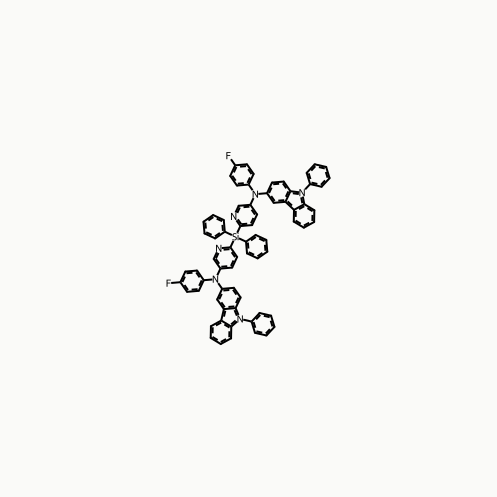 Fc1ccc(N(c2ccc([Si](c3ccccc3)(c3ccccc3)c3ccc(N(c4ccc(F)cc4)c4ccc5c(c4)c4ccccc4n5-c4ccccc4)cn3)nc2)c2ccc3c(c2)c2ccccc2n3-c2ccccc2)cc1